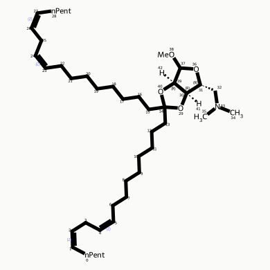 CCCCC/C=C\C/C=C\CCCCCCCCC1(CCCCCCCC/C=C\C/C=C\CCCCC)O[C@@H]2[C@@H](CN(C)C)OC(OC)[C@@H]2O1